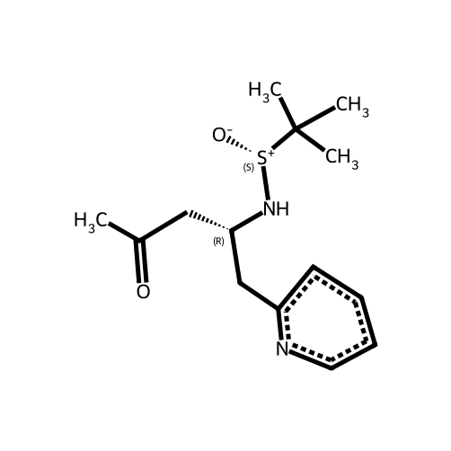 CC(=O)C[C@@H](Cc1ccccn1)N[S@+]([O-])C(C)(C)C